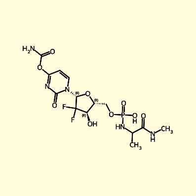 CNC(=O)C(C)NP(=O)(O)OC[C@H]1O[C@@H](n2ccc(OC(N)=O)nc2=O)C(F)(F)[C@@H]1O